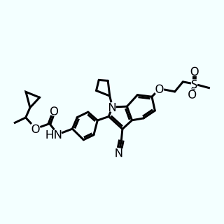 CC(OC(=O)Nc1ccc(-c2c(C#N)c3ccc(OCCS(C)(=O)=O)cc3n2C2CCC2)cc1)C1CC1